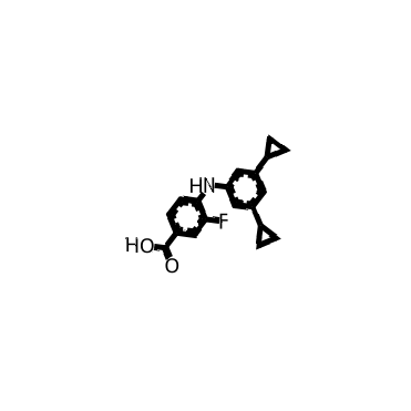 O=C(O)c1ccc(Nc2cc(C3CC3)cc(C3CC3)c2)c(F)c1